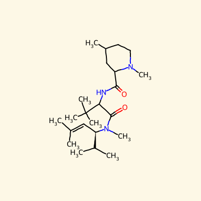 CC(C)=C[C@H](C(C)C)N(C)C(=O)C(NC(=O)C1CC(C)CCN1C)C(C)(C)C